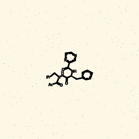 CC(=O)C(=O)N(CC(C)C)NC(=O)[C@H](Cc1ccccc1)NC(=O)c1cnccn1